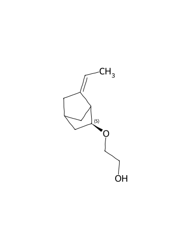 CC=C1CC2CC1[C@@H](OCCO)C2